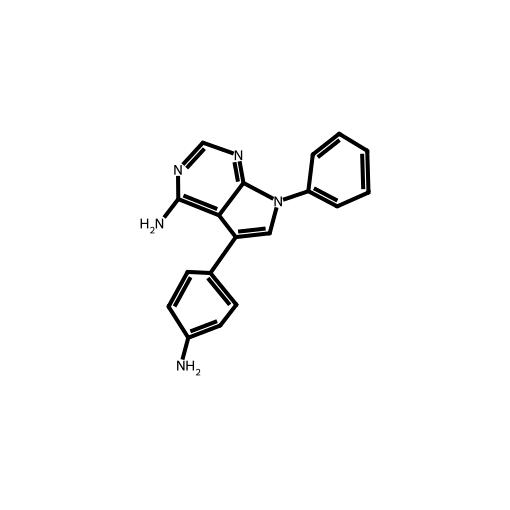 Nc1ccc(-c2cn(-c3ccccc3)c3ncnc(N)c23)cc1